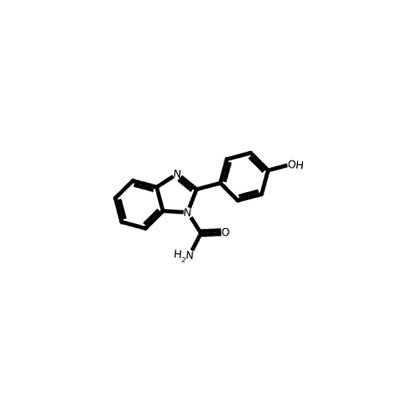 NC(=O)n1c(-c2ccc(O)cc2)nc2ccccc21